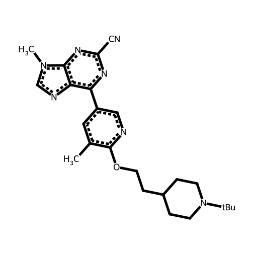 Cc1cc(-c2nc(C#N)nc3c2ncn3C)cnc1OCCC1CCN(C(C)(C)C)CC1